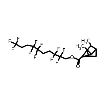 CC1C2CC3C1C3(C(=O)OCC(F)(F)C(F)(F)CCC(F)(F)C(F)(F)CCC(F)(F)F)C2C